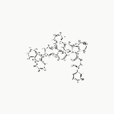 c1ccc(-c2ccc(-n3c4ccncc4c4cc(-c5ccccc5-n5c6ccccc6c6cc(-n7c8ccccc8c8ccccc87)ccc65)ccc43)cc2)cc1